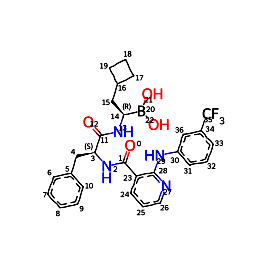 O=C(N[C@@H](Cc1ccccc1)C(=O)N[C@@H](CC1CCC1)B(O)O)c1cccnc1Nc1cccc(C(F)(F)F)c1